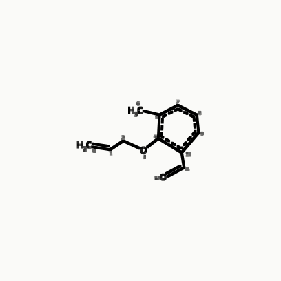 C=CCOc1c(C)cccc1C=O